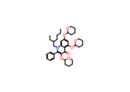 CCCCC(CC)Cn1c(-c2ccccc2)c(OC2CCCCO2)c(=O)c2c(OC3CCCCO3)cc(OC3CCCCO3)cc21